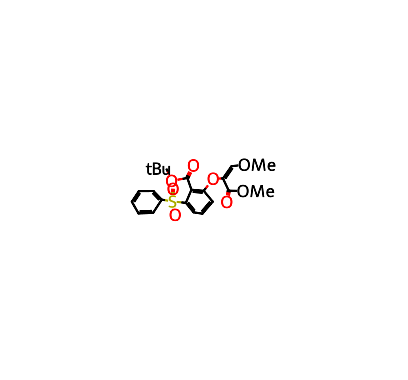 COC=C(Oc1cccc(S(=O)(=O)c2ccccc2)c1C(=O)OC(C)(C)C)C(=O)OC